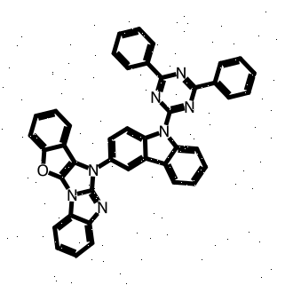 c1ccc(-c2nc(-c3ccccc3)nc(-n3c4ccccc4c4cc(-n5c6c7ccccc7oc6n6c7ccccc7nc56)ccc43)n2)cc1